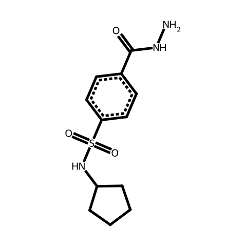 NNC(=O)c1ccc(S(=O)(=O)NC2CCCC2)cc1